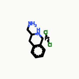 NCC1Cc2ccccc2CN1.[Cl][Pt][Cl]